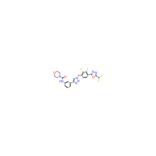 O=C(Nc1cccc(-c2cn(Cc3ccc(-c4nnc(C(F)F)o4)c(F)c3F)nn2)c1)N1CCOCC1